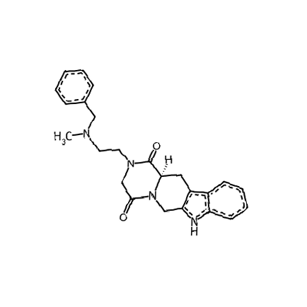 CN(CCN1CC(=O)N2Cc3[nH]c4ccccc4c3C[C@@H]2C1=O)Cc1ccccc1